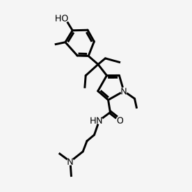 CCn1cc(C(CC)(CC)c2ccc(O)c(C)c2)cc1C(=O)NCCCN(C)C